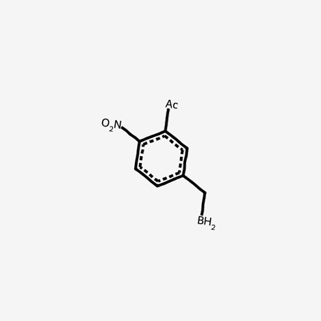 BCc1ccc([N+](=O)[O-])c(C(C)=O)c1